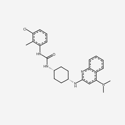 Cc1c(Cl)cccc1NC(=O)N[C@H]1CC[C@@H](Nc2cc(N(C)C)c3ccccc3n2)CC1